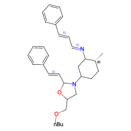 CCCCOCC1CN(C2CC[C@@H](C)C(/N=C/C=C/c3ccccc3)C2)C(/C=C/c2ccccc2)O1